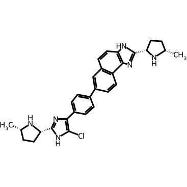 C[C@H]1CC[C@@H](c2nc(-c3ccc(-c4ccc5c(ccc6[nH]c([C@@H]7CC[C@H](C)N7)nc65)c4)cc3)c(Cl)[nH]2)N1